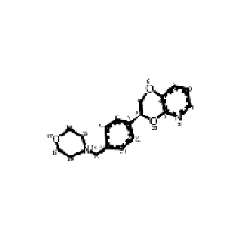 c1cnc2c(c1)OC[C@H](c1ccc(CN3CCOCC3)cc1)O2